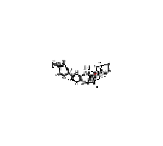 CC(=O)N1C2CCC1CN(C(=O)Nc1cc(-c3ccc(F)cc3)ccc1N)C2